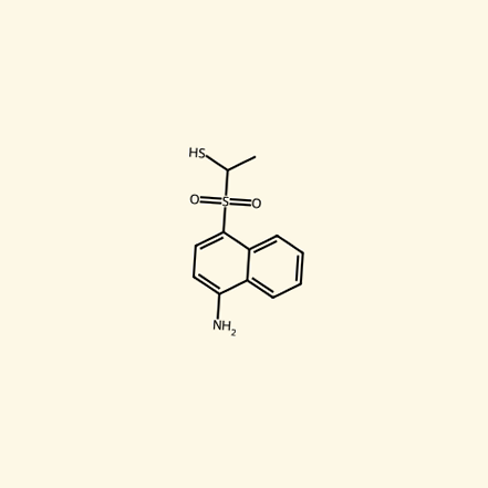 CC(S)S(=O)(=O)c1ccc(N)c2ccccc12